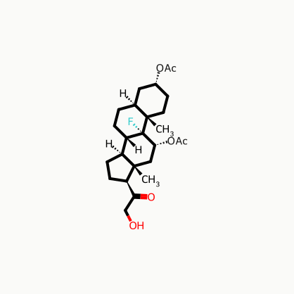 CC(=O)O[C@@H]1CC[C@@]2(C)[C@@H](CC[C@H]3[C@@H]4CC[C@H](C(=O)CO)[C@@]4(C)C[C@@H](OC(C)=O)[C@@]32F)C1